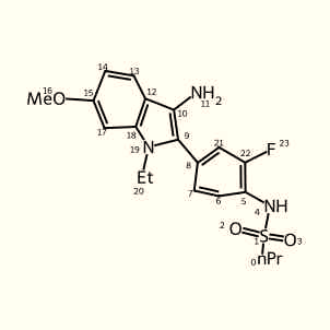 CCCS(=O)(=O)Nc1ccc(-c2c(N)c3ccc(OC)cc3n2CC)cc1F